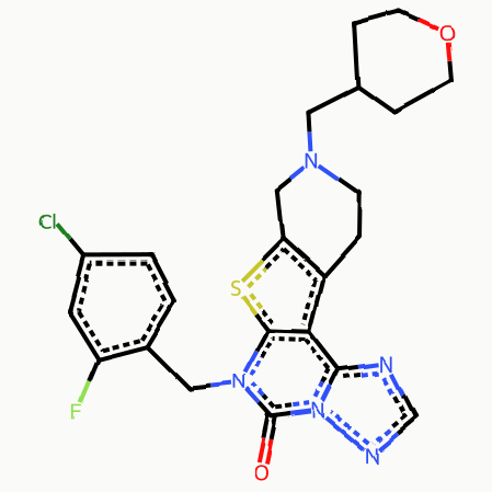 O=c1n(Cc2ccc(Cl)cc2F)c2sc3c(c2c2ncnn12)CCN(CC1CCOCC1)C3